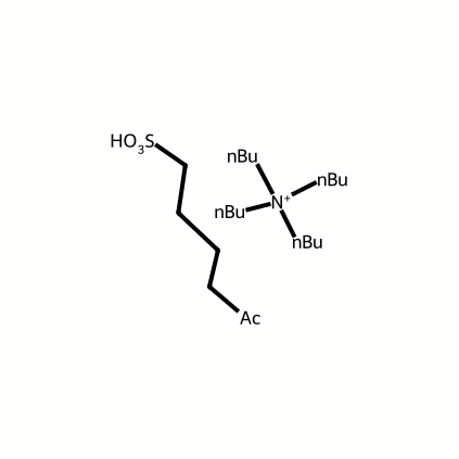 CC(=O)CCCCS(=O)(=O)O.CCCC[N+](CCCC)(CCCC)CCCC